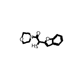 O=C(C(S)c1cc2ccccc2o1)N1CCOCC1